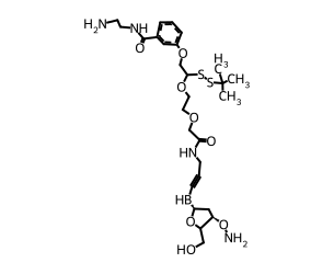 CC(C)(C)SSC(COc1cccc(C(=O)NCCN)c1)OCCOCC(=O)NCC#CB[C@H]1C[C@@H](ON)C(CO)O1